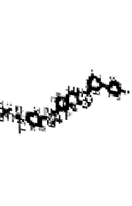 Cc1ccc(-c2cccc(C(=O)NC(Cc3ccc(-c4noc(-c5ccc(NC(=O)OC(C)(C)C)cc5)n4)c(F)c3)C(=O)O)c2)cc1